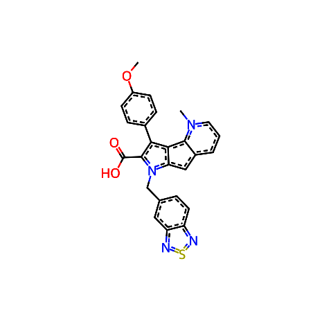 COc1ccc(-c2c(C(=O)O)n(Cc3ccc4nsnc4c3)c3cc4cccn(C)c-4c23)cc1